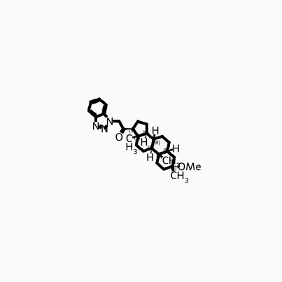 CO[C@]1(C)CC[C@@]2(C)[C@H](CC[C@@H]3[C@@H]2CC[C@]2(C)[C@@H](C(=O)Cn4nnc5ccccc54)CC[C@@H]32)C1